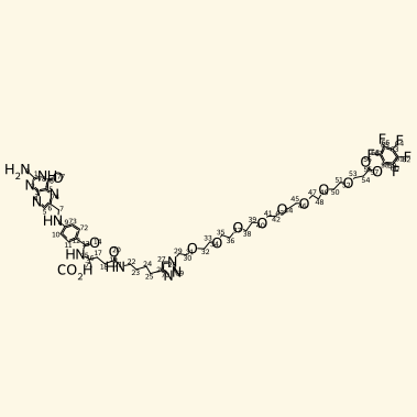 Nc1nc2ncc(CNc3ccc(C(=O)N[C@@H](CCC(=O)NCCCCc4cn(CCOCCOCCOCCOCCOCCOCCOCCOCCC(=O)Oc5c(F)c(F)c(F)c(F)c5F)nn4)C(=O)O)cc3)nc2c(=O)[nH]1